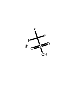 O=S(=O)(O)C(F)(F)F.[Th]